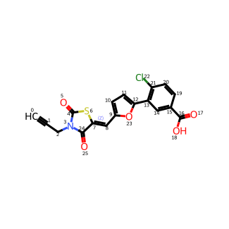 C#CCN1C(=O)S/C(=C\c2ccc(-c3cc(C(=O)O)ccc3Cl)o2)C1=O